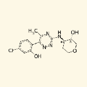 Cc1nc(N[C@@H]2CCOC[C@H]2O)nnc1-c1ccc(Cl)cc1O